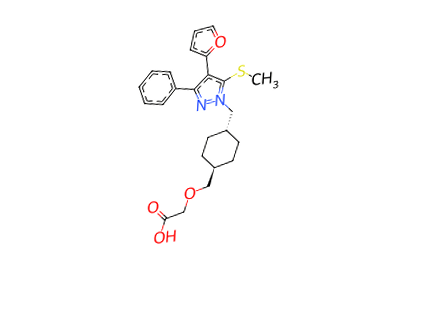 CSc1c(-c2ccco2)c(-c2ccccc2)nn1C[C@H]1CC[C@H](COCC(=O)O)CC1